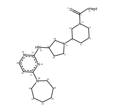 CCCCCCCC(=O)N1CCCC(N2CCC(Nc3nccc(N4CCCCCC4)n3)C2)C1